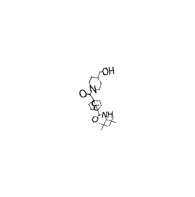 CC1(C)CC(C)(C)C1NC(=O)C12CCC(C(=O)N3CCC(CO)CC3)(CC1)CC2